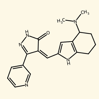 CN(C)C1CCCc2[nH]c(C=C3C(=O)NN=C3c3cccnc3)cc21